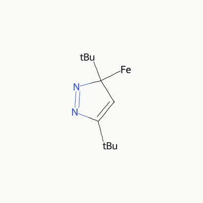 CC(C)(C)C1=C[C]([Fe])(C(C)(C)C)N=N1